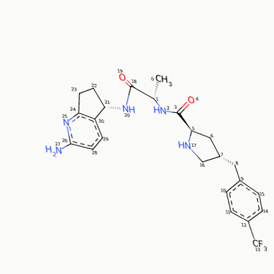 C[C@H](NC(=O)[C@H]1C[C@H](Cc2ccc(C(F)(F)F)cc2)CN1)C(=O)N[C@H]1CCc2nc(N)ccc21